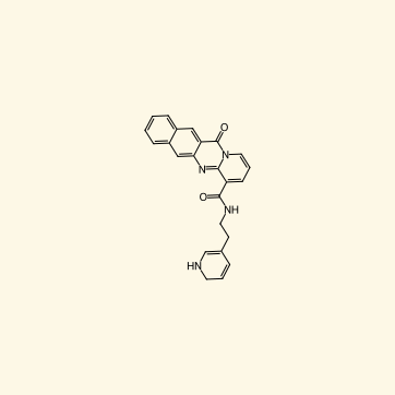 O=C(NCCC1=CNCC=C1)c1cccn2c(=O)c3cc4ccccc4cc3nc12